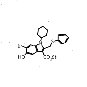 CCOC(=O)c1c(CSc2ccccc2)n(C2CCCCC2)c2cc(Br)c(O)cc12